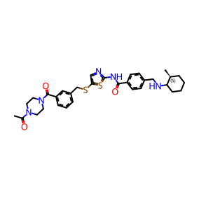 CC(=O)N1CCN(C(=O)c2cccc(CSc3cnc(NC(=O)c4ccc(CNC5CCCC[C@@H]5C)cc4)s3)c2)CC1